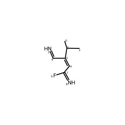 CC(C)/C(C=N)=C/C(=N)F